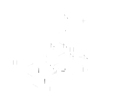 C#Cc1c(F)ccc2cc(O)cc(-c3nc4c5c(nc(OC[C@@]67CCCN6C[C@H](F)C7)nc5c3F)N[C@@H]([C@H](CC)NC3CC3)[C@@H](C)O4)c12